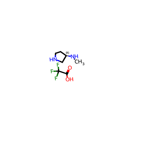 CN[C@@H]1CCNC1.O=C(O)C(F)(F)F